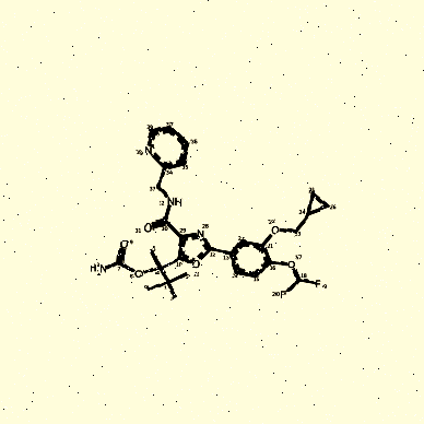 CC(C)(C)C(C)(OC(N)=O)c1oc(-c2ccc(OC(F)F)c(OCC3CC3)c2)nc1C(=O)NCc1ccccn1